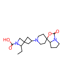 CCC1N(C(=O)O)CC12CC(N1CCC3(CC1)OC(=O)N1CCCC13)C2